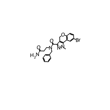 Cn1nc(C(=O)N(CCC(N)=O)Cc2ccccc2)c2c1-c1cc(Br)ccc1OC2